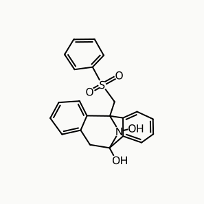 O=S(=O)(CC12c3ccccc3CC(O)(c3ccccc31)N2O)c1ccccc1